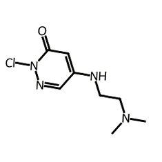 CN(C)CCNc1cnn(Cl)c(=O)c1